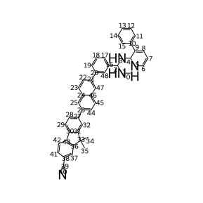 CNC(NC1NC=CC=C1c1ccccc1)c1cccc(-c2ccc3cc(-c4ccc5c(c4)C(C)(C)c4cc(C#N)ccc4-5)ccc3c2)c1